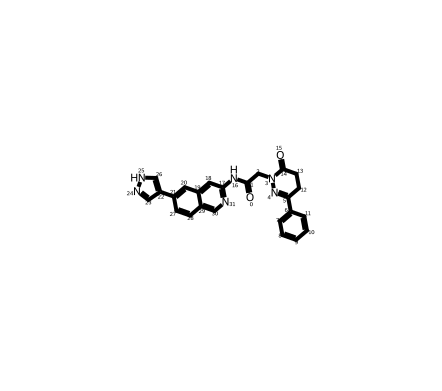 O=C(CN1N=C(c2ccccc2)CCC1=O)Nc1cc2cc(-c3cn[nH]c3)ccc2cn1